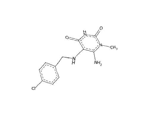 Cn1c(N)c(NCc2ccc(Cl)cc2)c(=O)[nH]c1=O